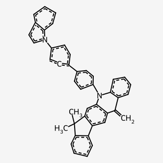 C=C1c2ccccc2N(c2ccc(-c3ccc(-n4ccc5ccccc54)cc3)cc2)c2cc3c(cc21)-c1ccccc1C3(C)C